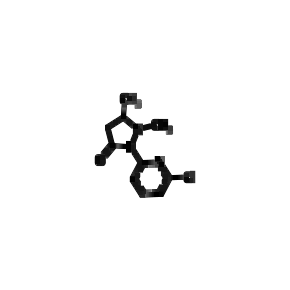 CC1CC(=O)N(c2cccc(Cl)n2)N1C